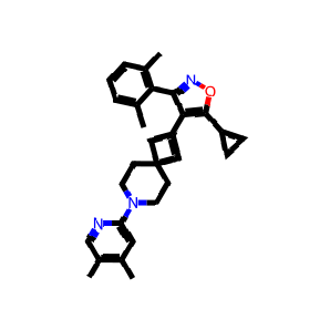 Cc1cnc(N2CCC3(C=C(c4c(-c5c(C)cccc5C)noc4C4CC4)C3)CC2)cc1C